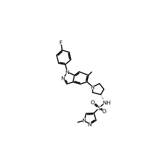 Cc1cc2c(cnn2-c2ccc(F)cc2)cc1N1CC[C@H](NS(=O)(=O)c2cnn(C)c2)C1